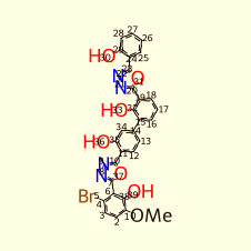 COc1ccc(Br)c(-c2nnc(-c3ccc(-c4cccc(-c5nnc(-c6ccccc6O)o5)c4O)cc3O)o2)c1O